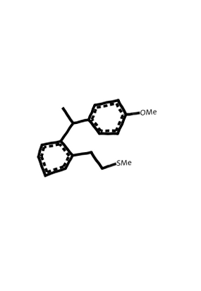 COc1ccc([C](C)c2ccccc2CCSC)cc1